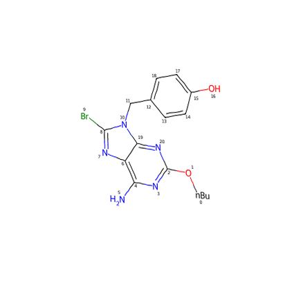 CCCCOc1nc(N)c2nc(Br)n(Cc3ccc(O)cc3)c2n1